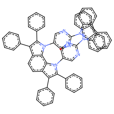 c1ccc(-c2c(-c3ccccc3)n(-c3cnc(-n4c5ccccc5c5ccccc54)nc3)c3c2ccc2c(-c4ccccc4)c(-c4ccccc4)n(-c4cnc(-n5c6ccccc6c6ccccc65)nc4)c23)cc1